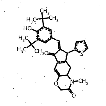 CN1C(=O)COC2=CC3=C(CC21)C(c1cccs1)C(=Cc1cc(C(C)(C)C)c(O)c(C(C)(C)C)c1)C3=O